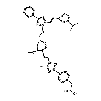 COc1cc(COc2nn(-c3ccccc3)cc2C=Cc2csc(C(C)C)n2)ccc1OCc1nc(-c2ccc(CC(=O)O)cc2)oc1C